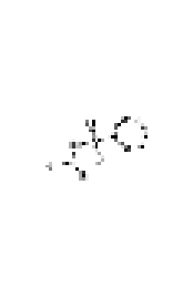 O=S(=O)(NC(Br)Br)c1ccccc1